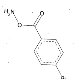 NOC(=O)c1ccc(Br)cc1